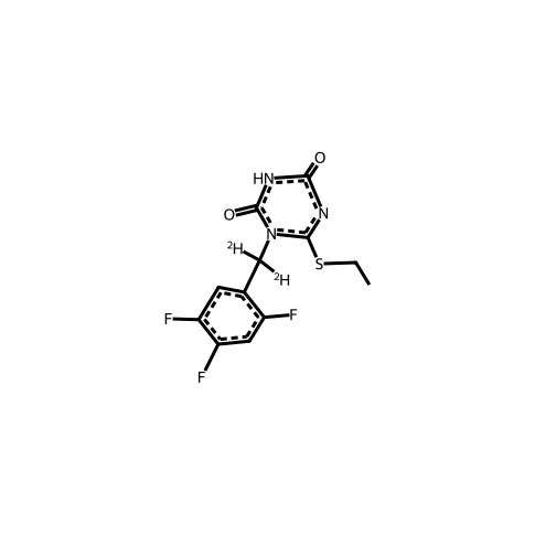 [2H]C([2H])(c1cc(F)c(F)cc1F)n1c(SCC)nc(=O)[nH]c1=O